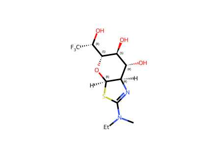 CCN(C)C1=N[C@@H]2[C@@H](O)[C@H](O)[C@@H]([C@@H](O)C(F)(F)F)O[C@@H]2S1